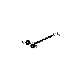 CCCCCCCCCCCCCCCc1c(Br)cccc1Oc1ccc(Br)cc1